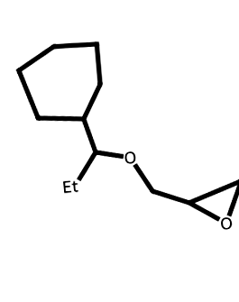 CCC(OCC1CO1)C1CCCCC1